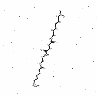 CCCCCCCCCCCCCCCC(=O)NCCNC(=O)CCC(=O)NCCCCCCN(C)C